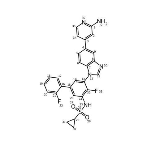 Nc1cc(-c2ccc3c(c2)ncn3-c2cc(-c3ccccc3F)cc(NS(=O)(=O)C3CC3)c2F)ccn1